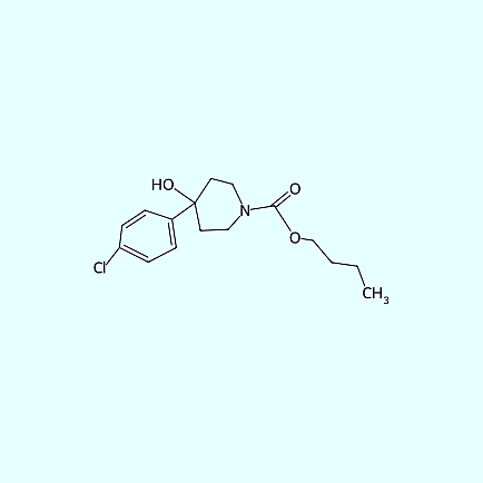 CCCCOC(=O)N1CCC(O)(c2ccc(Cl)cc2)CC1